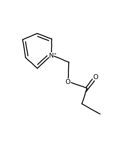 CCC(=O)OC[n+]1ccccc1